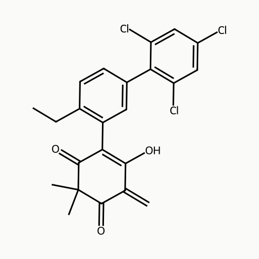 C=C1C(=O)C(C)(C)C(=O)C(c2cc(-c3c(Cl)cc(Cl)cc3Cl)ccc2CC)=C1O